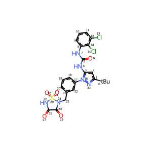 CC(C)(C)c1cc(NC(=O)Nc2cccc(Cl)c2Cl)n(-c2cccc(CN3C(=O)C(=O)NS3(=O)=O)c2)n1